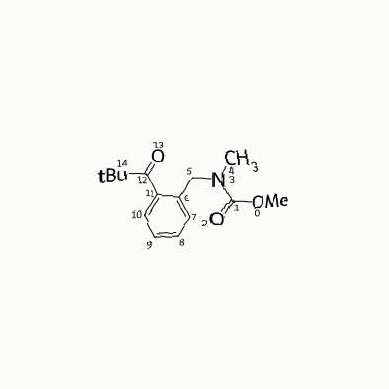 COC(=O)N(C)Cc1ccccc1C(=O)C(C)(C)C